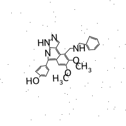 COc1cc2c(-c3ccc(O)cc3)nc3[nH]ncc3c2c(CNCc2ccccc2)c1OC